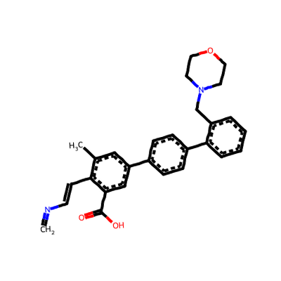 C=N/C=C/c1c(C)cc(-c2ccc(-c3ccccc3CN3CCOCC3)cc2)cc1C(=O)O